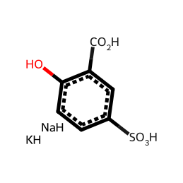 O=C(O)c1cc(S(=O)(=O)O)ccc1O.[KH].[NaH]